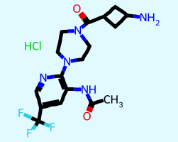 CC(=O)Nc1cc(C(F)(F)F)cnc1N1CCN(C(=O)C2CC(N)C2)CC1.Cl